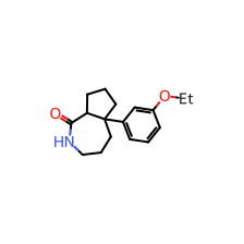 CCOc1cccc(C23CCCNC(=O)C2CCC3)c1